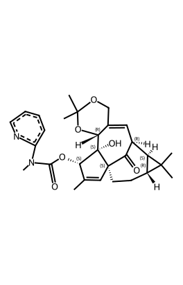 CC1=C[C@@]23CC[C@@H]4[C@@H]([C@H](C=C5COC(C)(C)O[C@H]5[C@]2(O)[C@H]1OC(=O)N(C)c1ccccn1)C3=O)C4(C)C